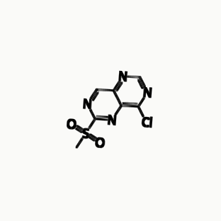 CS(=O)(=O)c1ncc2ncnc(Cl)c2n1